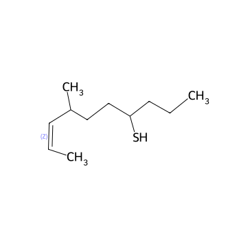 C/C=C\C(C)CCC(S)CCC